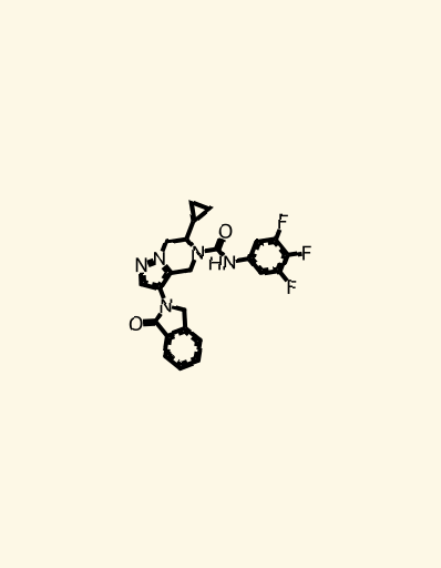 O=C1c2ccccc2CN1c1cnn2c1CN(C(=O)Nc1cc(F)c(F)c(F)c1)C(C1CC1)C2